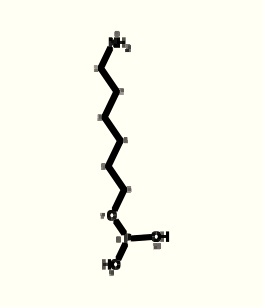 NCCCCCCOP(O)O